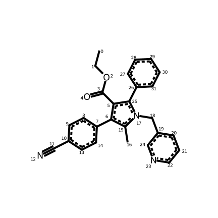 CCOC(=O)c1c(-c2ccc(C#N)cc2)c(C)n(Cc2cccnc2)c1-c1ccccc1